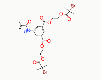 C=C(C)C(=O)Nc1cc(C(=O)OCCOC(=O)C(C)(C)Br)cc(C(=O)OCCOC(=O)C(C)(C)Br)c1